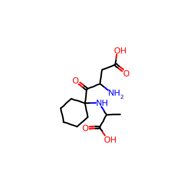 CC(NC1(C(=O)C(N)CC(=O)O)CCCCC1)C(=O)O